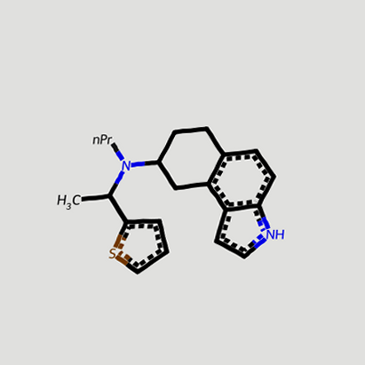 CCCN(C1CCc2ccc3[nH]ccc3c2C1)C(C)c1cccs1